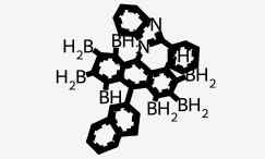 Bc1c(B)c(B)c2c(-n3c(-c4ccccc4)nc4ccccc43)c3c(B)c(B)c(B)c(B)c3c(-c3ccc4ccccc4c3)c2c1B